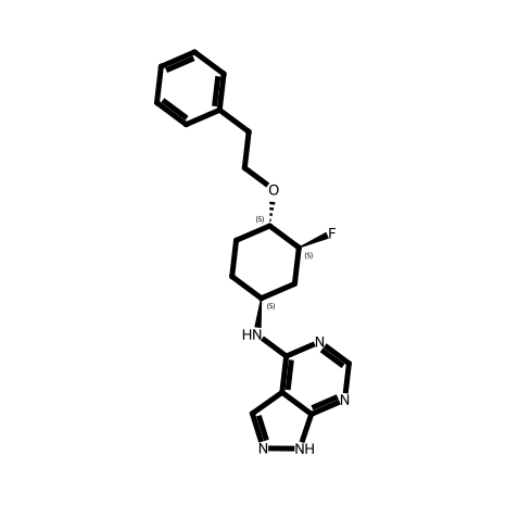 F[C@H]1C[C@@H](Nc2ncnc3[nH]ncc23)CC[C@@H]1OCCc1ccccc1